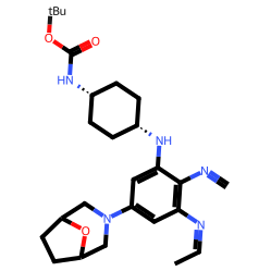 C=Nc1c(/N=C\C)cc(N2CC3CCC(C2)O3)cc1N[C@H]1CC[C@@H](NC(=O)OC(C)(C)C)CC1